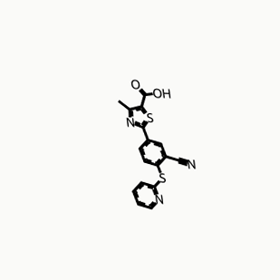 Cc1nc(-c2ccc(Sc3ccccn3)c(C#N)c2)sc1C(=O)O